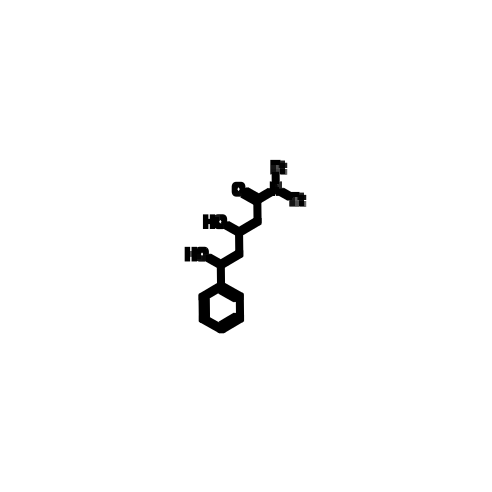 CCN(CC)C(=O)CC(O)CC(O)c1ccccc1